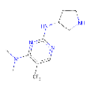 CN(C)c1nc(N[C@@H]2CCNC2)ncc1C(F)(F)F